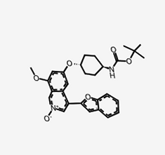 COc1cc(O[C@H]2CC[C@H](NC(=O)OC(C)(C)C)CC2)cc2c(-c3cc4ccccc4o3)c[n+]([O-])cc12